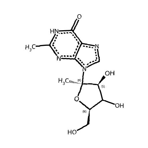 Cc1nc2c(ncn2[C@]2(C)O[C@H](CO)C(O)[C@@H]2O)c(=O)[nH]1